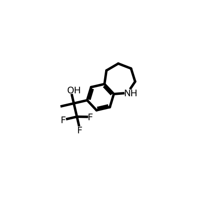 CC(O)(c1ccc2c(c1)CCCCN2)C(F)(F)F